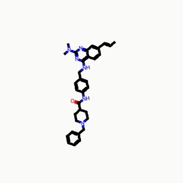 CC=Cc1ccc2c(NCc3ccc(NC(=O)C4CCN(Cc5ccccc5)CC4)cc3)nc(N(C)C)nc2c1